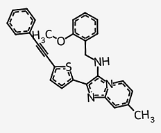 COc1ccccc1CNc1c(-c2ccc(C#Cc3ccccc3)s2)nc2cc(C)ccn12